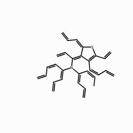 C=C/C=C\C(=C/C=C)N(C(/C=C\C)=C/C=C)/C(C=C)=c1\c(/C=C\C=C)c(C=C)s\c1=C\C=C